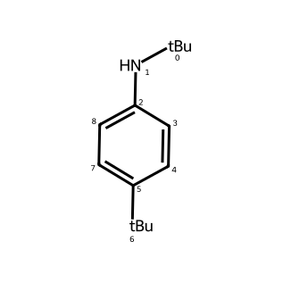 CC(C)(C)Nc1ccc(C(C)(C)C)cc1